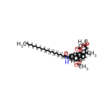 CCCCCCCCCCCCCCCCCCCC(=O)N[C@H]1CC[C@@]2(C)[C@@H](C1)C[C@@H](OC(C)=O)[C@@H]1[C@@H]2C[C@H](OC(C)=O)[C@]2(C)[C@@H](C(C)CCC(=O)OC)CC[C@@H]12